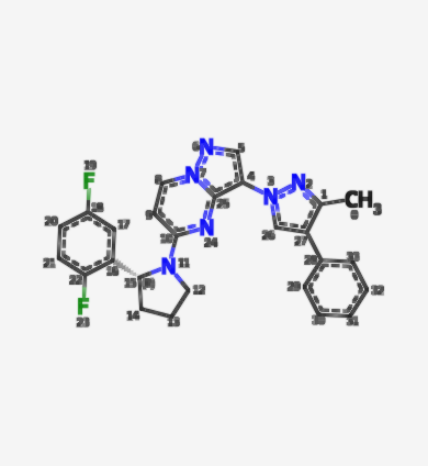 Cc1nn(-c2cnn3ccc(N4CCC[C@@H]4c4cc(F)ccc4F)nc23)cc1-c1ccccc1